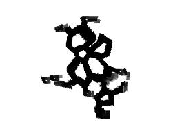 CCC1C=C(C(C)(C)C)C=[C]1/[Zr+2](=[C](\C)c1ccccc1)[c]1c(C)c(C(C)(C)C)cc2c1Cc1cc(C)c(C(C)(C)C)cc1-2.[Cl-].[Cl-]